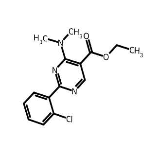 CCOC(=O)c1cnc(-c2ccccc2Cl)nc1N(C)C